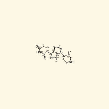 C[C@H]1CNCCN1c1cccc2c(C3CCC(=O)NC3=O)nn(C)c12